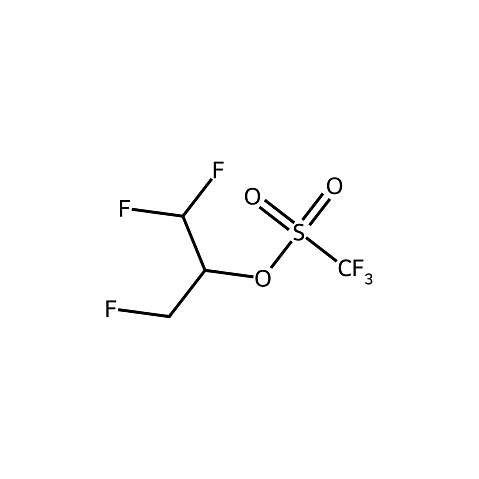 O=S(=O)(OC(CF)C(F)F)C(F)(F)F